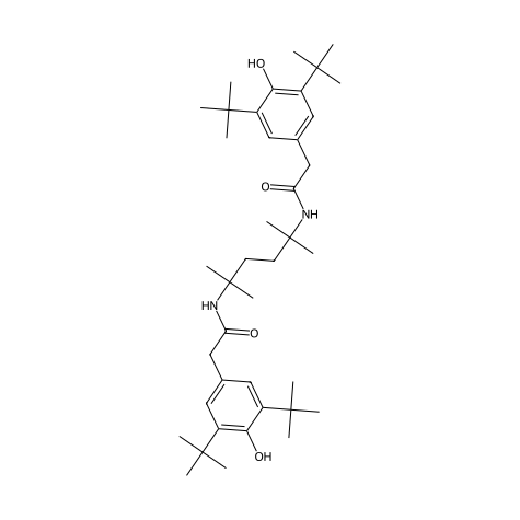 CC(C)(CCC(C)(C)NC(=O)Cc1cc(C(C)(C)C)c(O)c(C(C)(C)C)c1)NC(=O)Cc1cc(C(C)(C)C)c(O)c(C(C)(C)C)c1